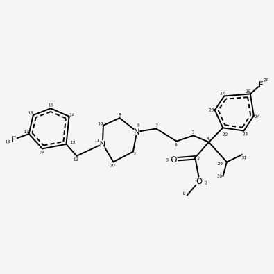 COC(=O)C(CCCN1CCN(Cc2cccc(F)c2)CC1)(c1ccc(F)cc1)C(C)C